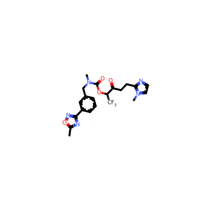 Cc1nc(-c2cccc(CN(C)C(=O)OC(C(=O)CCc3nccn3C)C(F)(F)F)c2)no1